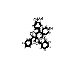 COc1ccc2c3c([nH]c2c1)C(CO)(C(=O)c1ccccc1)N(Cc1ccccc1F)CC31CCNCC1